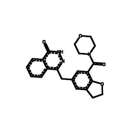 O=C(c1cc(Cc2n[nH]c(=O)c3ccccc23)cc2c1OCC2)N1CCOCC1